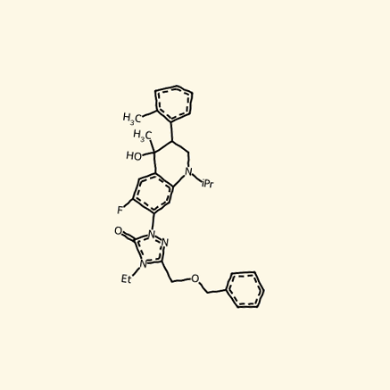 CCn1c(COCc2ccccc2)nn(-c2cc3c(cc2F)C(C)(O)C(c2ccccc2C)CN3C(C)C)c1=O